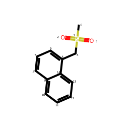 CS(=O)(=O)Cc1cccc2ccccc12